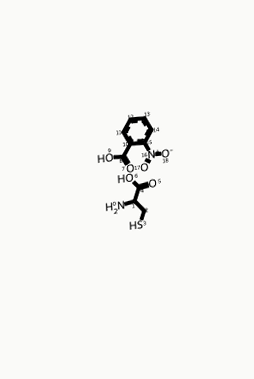 NC(CS)C(=O)O.O=C(O)c1ccccc1[N+](=O)[O-]